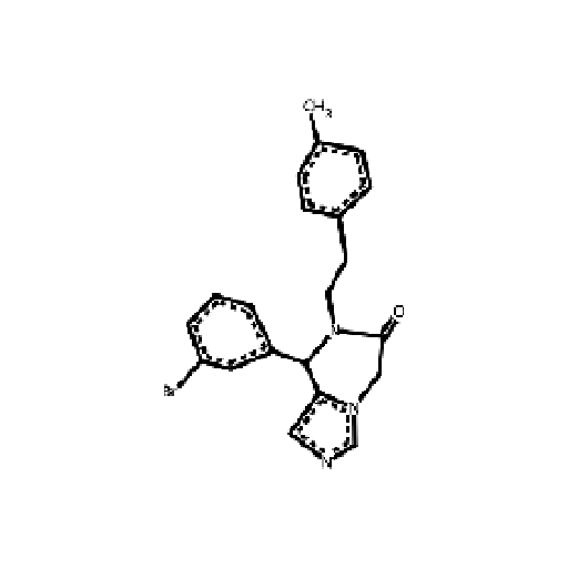 Cc1ccc(CCN2C(=O)Cn3cncc3C2c2cccc(Br)c2)cc1